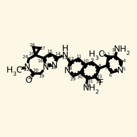 Cc1c(N)cncc1-c1cc2cc(Nc3cc4n(n3)CC(=O)N(C)CC43CC3)ncc2c(N)c1F